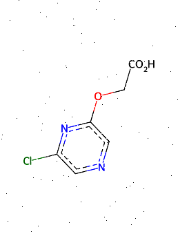 O=C(O)COc1cncc(Cl)n1